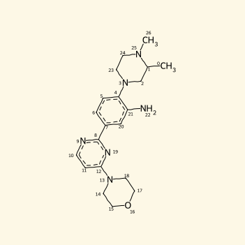 CC1CN(c2ccc(-c3nccc(N4CCOCC4)n3)cc2N)CCN1C